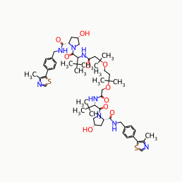 Cc1ncsc1-c1ccc(CNC(=O)[C@@H]2C[C@H](O)CN2C(=O)C(NC(=O)CC(C)(C)OCCC(C)(C)OCC(=O)N[C@H](C(=O)N2C[C@@H](O)C[C@H]2C(=O)NCc2ccc(-c3scnc3C)cc2)C(C)(C)C)C(C)(C)C)cc1